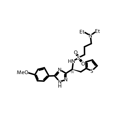 CCN(CC)CCCS(=O)(=O)N[C@@H](Cc1cccs1)c1n[nH]c(-c2ccc(OC)cc2)n1